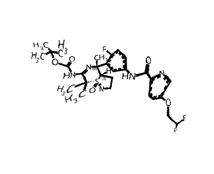 CC(C)(C)OC(=O)NC1=N[C@](C)(c2cc(NC(=O)c3ccc(OCC(F)F)cn3)ccc2F)[C@@H]2CCN=[S@]2(=O)C1(C)C